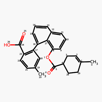 CC1=CCC(C(=O)Oc2cccc3cccc(-c4cc(C)ccc4C(=O)O)c23)CC1